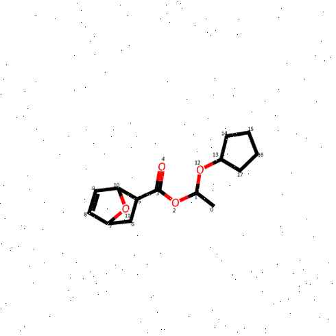 CC(OC(=O)C1CC2C=CC1O2)OC1CCCC1